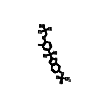 CCC(O)(CC)COc1ccc(C(CC)(CC)c2cc3ccc(OS(=O)(=O)C(F)(F)F)cc3s2)cc1C